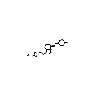 C=C1[C@H](O)CC(=C/C=C2\CCC[C@]3(C)[C@@H]([C@H](C)CN4CC(OC(F)F)C4)CC[C@@H]23)C[C@H]1O